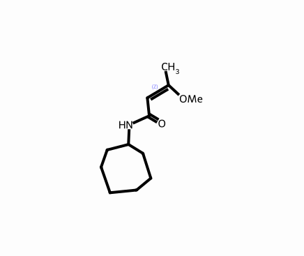 CO/C(C)=C\C(=O)NC1CCCCCC1